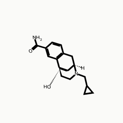 NC(=O)c1ccc2c(c1)[C@]13CCN(CC4CC4)[C@H](C2)C1CC[C@H](O)C3